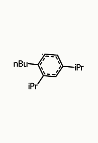 CCCCc1[c]cc(C(C)C)cc1C(C)C